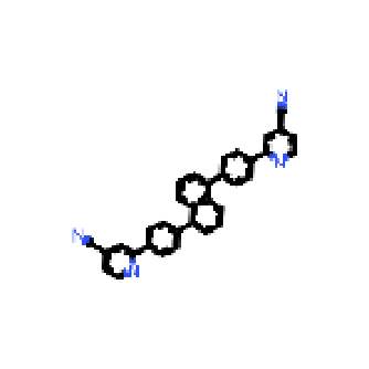 N#Cc1ccnc(-c2ccc(-c3cccc4c(-c5ccc(-c6cc(C#N)ccn6)cc5)cccc34)cc2)c1